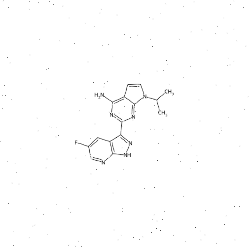 CC(C)n1ccc2c(N)nc(-c3n[nH]c4ncc(F)cc34)nc21